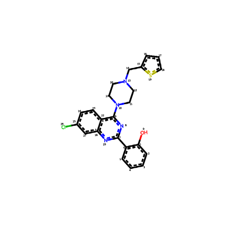 Oc1ccccc1-c1nc(N2CCN(Cc3cccs3)CC2)c2ccc(Cl)cc2n1